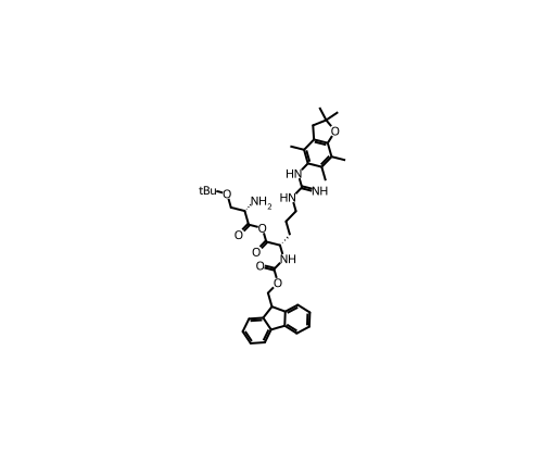 Cc1c(C)c2c(c(C)c1NC(=N)NCCC[C@H](NC(=O)OCC1c3ccccc3-c3ccccc31)C(=O)OC(=O)[C@@H](N)COC(C)(C)C)CC(C)(C)O2